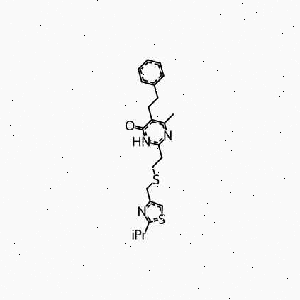 Cc1nc(CCSCc2csc(C(C)C)n2)[nH]c(=O)c1CCc1ccccc1